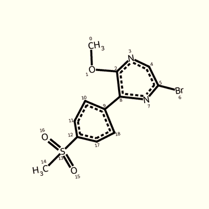 COc1ncc(Br)nc1-c1ccc(S(C)(=O)=O)cc1